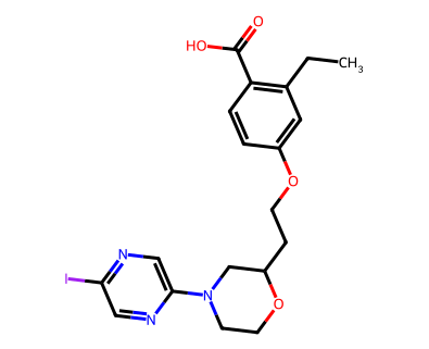 CCc1cc(OCCC2CN(c3cnc(I)cn3)CCO2)ccc1C(=O)O